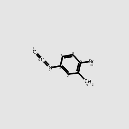 Cc1cc(N=C=O)ccc1Br